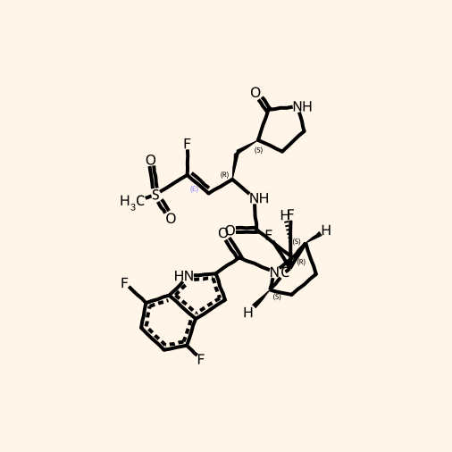 CS(=O)(=O)/C(F)=C/[C@@H](C[C@@H]1CCNC1=O)NC(=O)[C@H]1[C@@H]2CC[C@@H](CC2(F)F)N1C(=O)c1cc2c(F)ccc(F)c2[nH]1